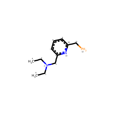 CCN(CC)Cc1cccc(CP)n1